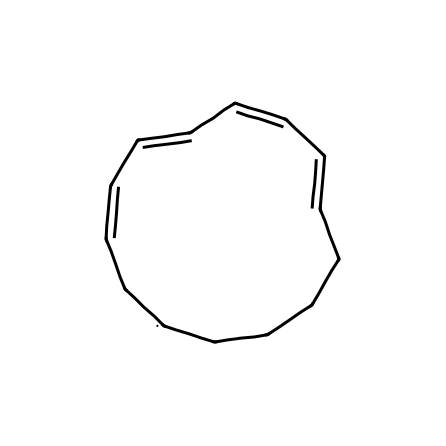 [CH]1C\C=C/C=C/C=C\C=C\CCCC1